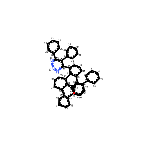 c1ccc(-c2ccccc2-c2cccc(-c3nnnc(-c4ccccc4)c3-c3ccccc3)c2-c2cccc3c4ccccc4c4ccccc4c23)cc1